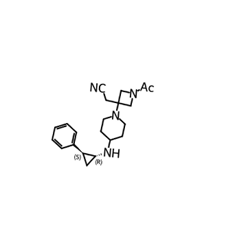 CC(=O)N1CC(CC#N)(N2CCC(N[C@@H]3C[C@H]3c3ccccc3)CC2)C1